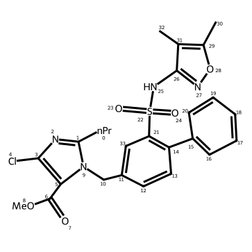 CCCc1nc(Cl)c(C(=O)OC)n1Cc1ccc(-c2ccccc2)c(S(=O)(=O)Nc2noc(C)c2C)c1